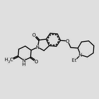 C=C1CCC(N2Cc3cc(OCC4CCCCCN4CC)ccc3C2=O)C(=O)N1